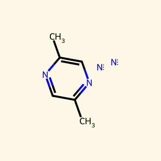 Cc1cnc(C)cn1.[N].[N]